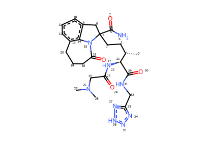 C[C@@H](CCC1(C(N)=O)Cc2cccc3c2N1C(=O)CCC3)[C@H](NC(=O)CN(C)C)C(=O)NCc1nn[nH]n1